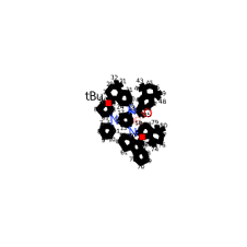 CC(C)(C)c1ccc(N(c2ccccc2)c2cc3c4c(c2)N(c2ccc5c(c2)C(C)(C)CCC5(C)C)c2c(oc5cc6c(cc25)C(C)(C)CCC6(C)C)B4c2cc4c(cc2N3c2cccc3c2C(C)(C)c2ccccc2-3)C(C)(C)CCC4(C)C)cc1